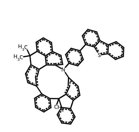 CC1(C)c2ccc3cc2-c2c(ccc4cccc1c24)N(c1ccc(-c2cccc4c2sc2ccccc24)cc1)c1ccc2c(c1)C(C)(c1ccccc1-3)c1ccccc1-2